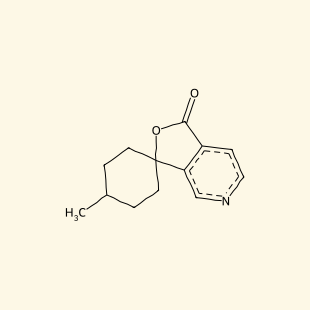 CC1CCC2(CC1)OC(=O)c1ccncc12